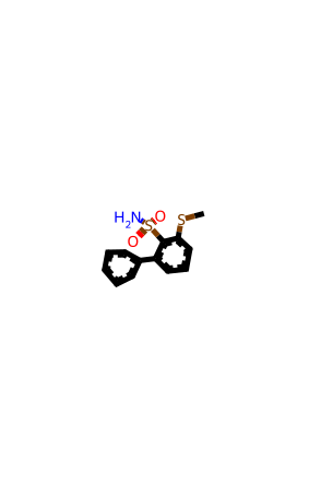 CSc1cccc(-c2ccccc2)c1S(N)(=O)=O